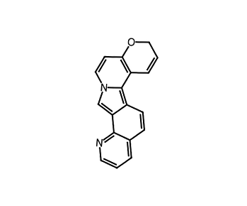 C1=Cc2c(ccn3cc4c(ccc5cccnc54)c23)OC1